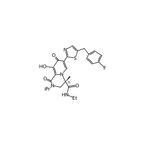 CCNC(=O)[C@]1(C)CN(C(C)C)C(=O)c2c(O)c(=O)c(-c3ncc(Cc4ccc(F)cc4)s3)cn21